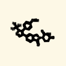 [2H]C([2H])([2H])n1ncc(-c2ccc3c(c2)CN(C2CCC(=O)NC2=O)C3=O)c1-c1ccc(OC)cc1